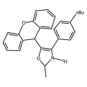 [2H]N1C(c2ccc(CCCC)cc2)=C(C2c3ccccc3Oc3ccccc32)OC1C